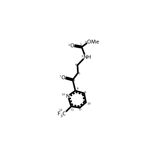 COC(=O)NCCC(=O)c1cccc(C(F)(F)F)n1